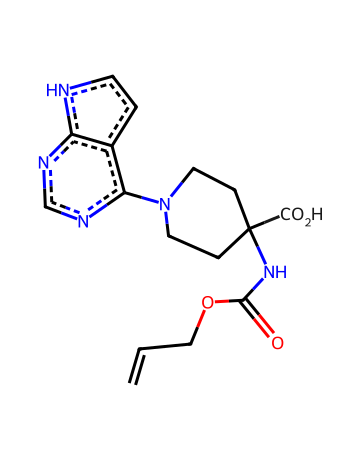 C=CCOC(=O)NC1(C(=O)O)CCN(c2ncnc3[nH]ccc23)CC1